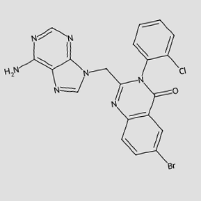 Nc1ncnc2c1ncn2Cc1nc2ccc(Br)cc2c(=O)n1-c1ccccc1Cl